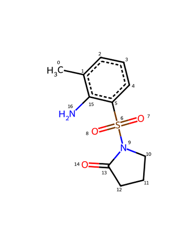 Cc1cccc(S(=O)(=O)N2CCCC2=O)c1N